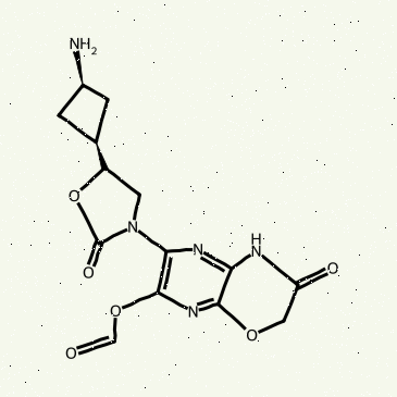 N[C@H]1C[C@@H](C2CN(c3nc4c(nc3OC=O)OCC(=O)N4)C(=O)O2)C1